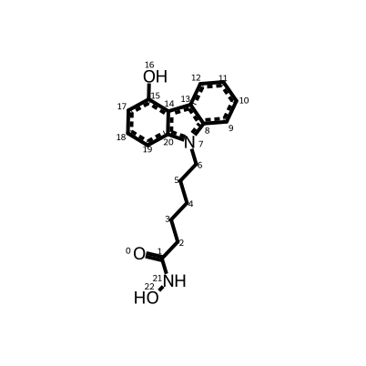 O=C(CCCCCn1c2ccccc2c2c(O)cccc21)NO